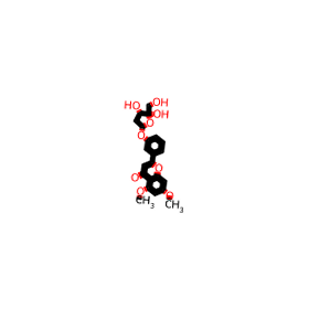 COc1cc(OC)c2c(=O)cc(-c3cccc(OC4CC(O)C(O)(CO)O4)c3)oc2c1